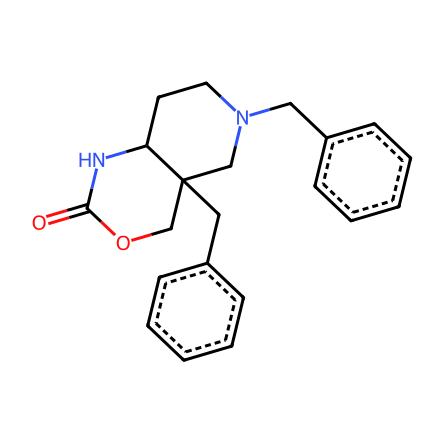 O=C1NC2CCN(Cc3ccccc3)CC2(Cc2ccccc2)CO1